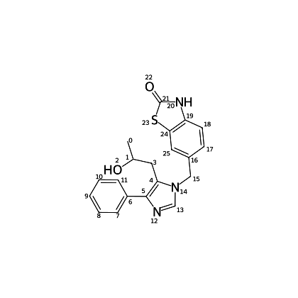 CC(O)Cc1c(-c2ccccc2)ncn1Cc1ccc2[nH]c(=O)sc2c1